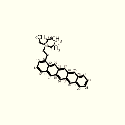 CC[Si](CC)(CC)CCc1cccc2cc3cc4cc5ccccc5cc4cc3cc12